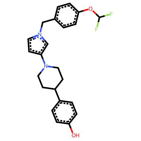 Oc1ccc(C2CCN(c3ccn(Cc4ccc(OC(F)F)cc4)c3)CC2)cc1